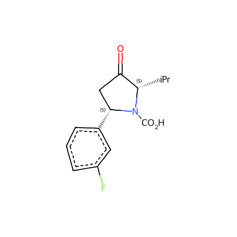 CC(C)[C@H]1C(=O)C[C@@H](c2cccc(F)c2)N1C(=O)O